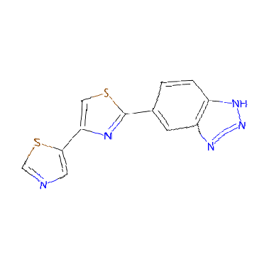 c1ncc(-c2csc(-c3ccc4[nH]nnc4c3)n2)s1